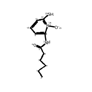 CCCCCC(=O)Nc1cccc(S)[n+]1[O-]